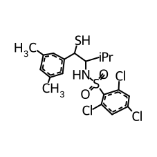 Cc1cc(C)cc(C(S)C(NS(=O)(=O)c2c(Cl)cc(Cl)cc2Cl)C(C)C)c1